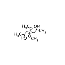 C[O][Zr]([CH2]C(C)O)([CH2]C(C)O)[O]C